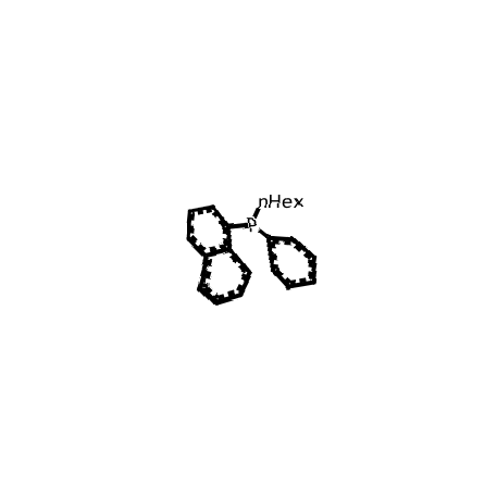 CCCCCCP(c1ccccc1)c1cccc2ccccc12